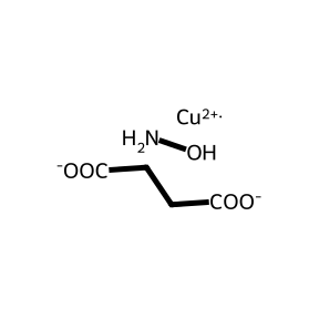 NO.O=C([O-])CCC(=O)[O-].[Cu+2]